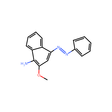 COc1cc(N=Nc2ccccc2)c2ccccc2c1N